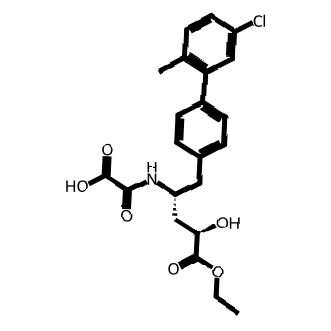 CCOC(=O)[C@H](O)C[C@@H](Cc1ccc(-c2cc(Cl)ccc2C)cc1)NC(=O)C(=O)O